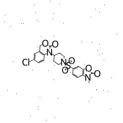 Cn1c(=O)oc2cc(S(=O)(=O)N3CCC(N4C(=O)OCc5cc(Cl)ccc54)CC3)ccc21